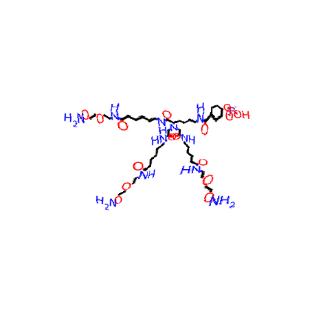 CP(=O)(O)OC1CCC(C(=O)NCCCCC(C(=O)NCCCCCC(=O)NCCOCCON)N(CC(=O)NCCCCCC(=O)NCCOCCON)CC(=O)NCCCCCC(=O)NCCOCCON)CC1